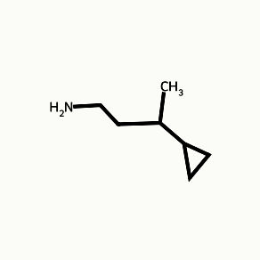 CC(CCN)C1CC1